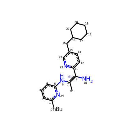 CCCCc1cccc(N/C(C)=C(/N)c2ccc(CC3CCCCC3)cn2)n1